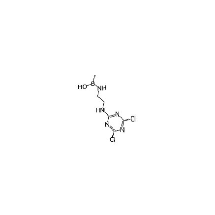 CB(O)NCCNc1nc(Cl)nc(Cl)n1